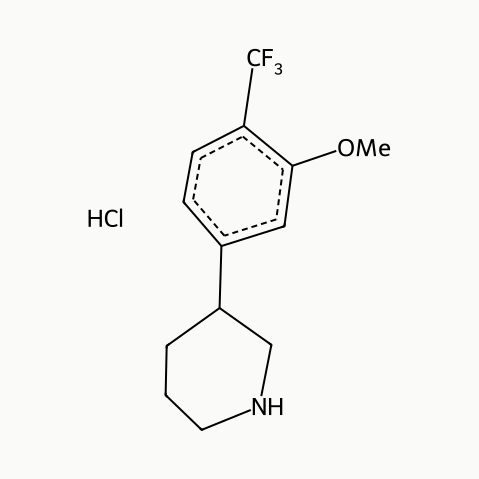 COc1cc(C2CCCNC2)ccc1C(F)(F)F.Cl